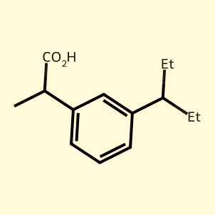 CCC(CC)c1cccc(C(C)C(=O)O)c1